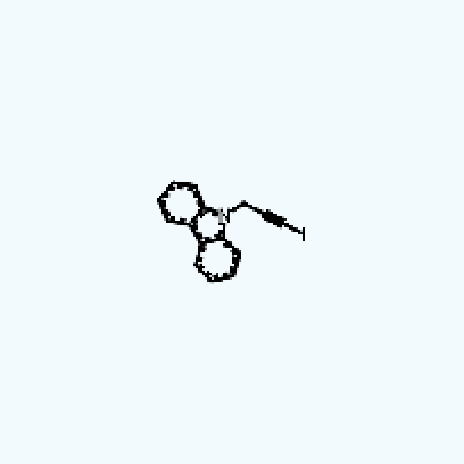 IC#CCn1c2ccccc2c2ccccc21